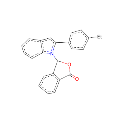 CCc1ccc(-c2cc3ccccc3n2C2OC(=O)c3ccccc32)cc1